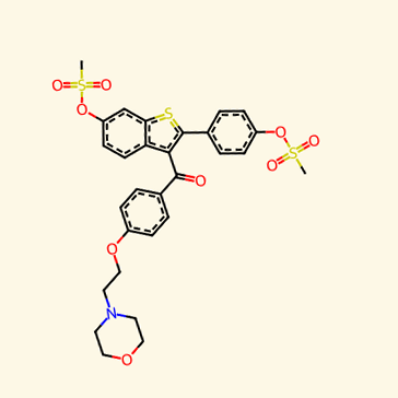 CS(=O)(=O)Oc1ccc(-c2sc3cc(OS(C)(=O)=O)ccc3c2C(=O)c2ccc(OCCN3CCOCC3)cc2)cc1